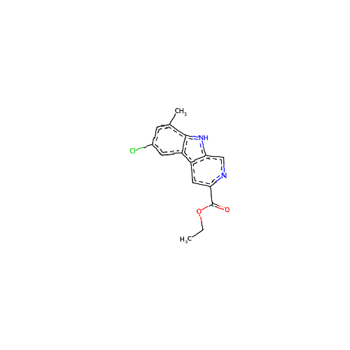 CCOC(=O)c1cc2c(cn1)[nH]c1c(C)cc(Cl)cc12